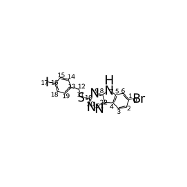 Brc1ccc2c(c1)[nH]c1nc(SCc3ccc(I)cc3)nnc12